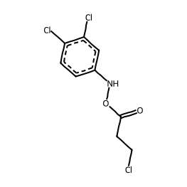 O=C(CCCl)ONc1ccc(Cl)c(Cl)c1